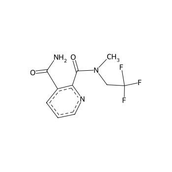 CN(CC(F)(F)F)C(=O)c1ncccc1C(N)=O